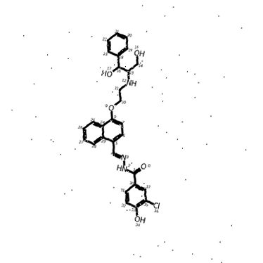 O=C(N/N=C/c1ccc(OCCNC(CO)C(O)c2ccccc2)c2ccccc12)c1ccc(O)c(Cl)c1